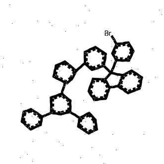 Brc1cccc(C2(c3cccc(-c4cccc(-c5cc(-c6ccccc6)cc(-c6ccccc6)c5)c4)c3)c3ccccc3-c3ccccc32)c1